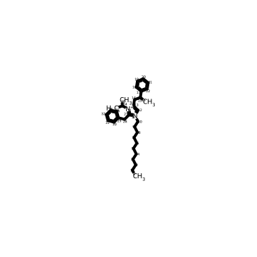 CCCCCCCCCCCn1cc(CC(C)c2ccccc2)[n+](C(C)C)c1Cc1ccccc1